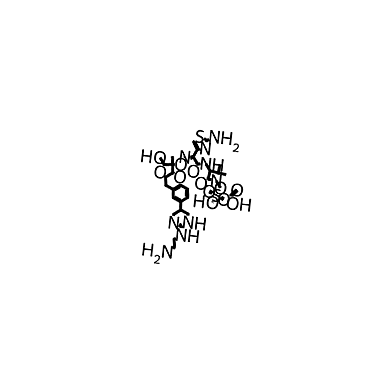 CC(ON=C(C(=O)NC1C(=O)N(OS(=O)(=O)O)C1(C)C)c1csc(N)n1)(C(=O)O)C1CCc2cc(C3CN=C(NCCN)NC3)ccc2O1.O=CO